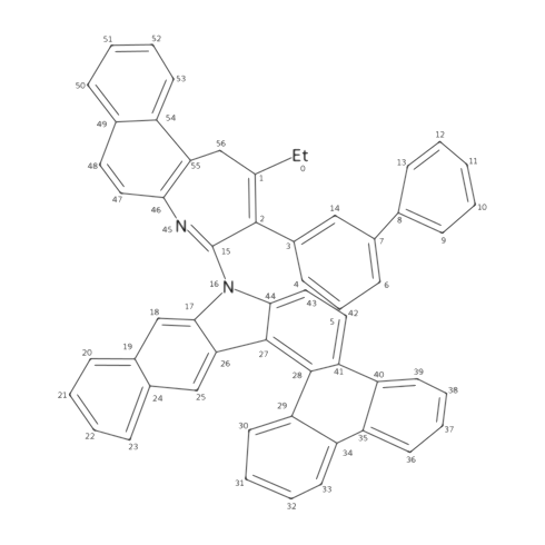 CCC1=C(c2cccc(-c3ccccc3)c2)C(n2c3cc4ccccc4cc3c3c4c5ccccc5c5ccccc5c4ccc32)=Nc2ccc3ccccc3c2C1